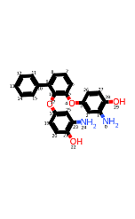 Nc1cc(Oc2cccc(-c3ccccc3)c2Oc2ccc(O)c(N)c2)ccc1O